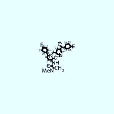 CN[C@@H](C)C(=O)Nc1ccc(-c2ccc(F)cc2)n(Cc2cncc(C(=O)c3ccc(F)cc3)c2)c1=O